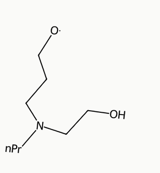 CCCN(CCO)CCC[O]